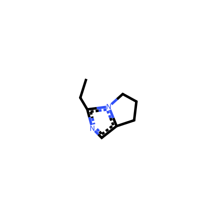 CCc1ncc2n1CCC2